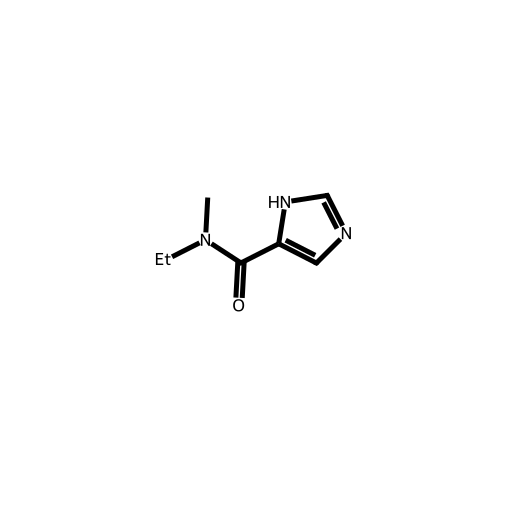 CCN(C)C(=O)c1cnc[nH]1